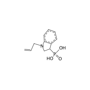 C=CCN1CC(P(=O)(O)O)c2ccccc21